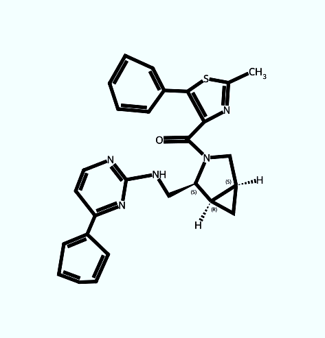 Cc1nc(C(=O)N2C[C@H]3C[C@H]3[C@H]2CNc2nccc(-c3ccccc3)n2)c(-c2ccccc2)s1